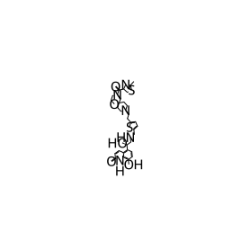 CC1=NC(C(=O)N2CCOC3(CCN(CCc4ccc(CNC[C@H](O)c5ccc(O)c6[nH]c(=O)ccc56)s4)CC3)C2)CS1